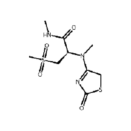 CNC(=O)[C@H](CS(C)(=O)=O)N(C)C1=NC(=O)SC1